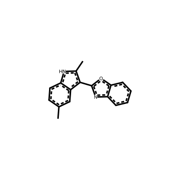 Cc1ccc2[nH]c(C)c(-c3nc4ccccc4o3)c2c1